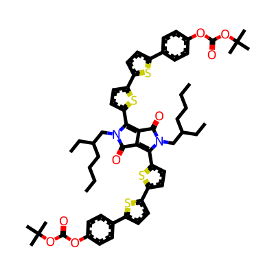 CCCCC(CC)CN1C(=O)C2=C(c3ccc(-c4ccc(-c5ccc(OC(=O)OC(C)(C)C)cc5)s4)s3)N(CC(CC)CCCC)C(=O)C2=C1c1ccc(-c2ccc(-c3ccc(OC(=O)OC(C)(C)C)cc3)s2)s1